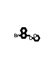 Brc1ccc(COC2CCCCO2)c2ccccc12